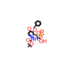 CC(C)(C)OC(=O)Nn1ccc(=O)c(OCc2ccccc2)c1C(CCO)OS(C)(=O)=O